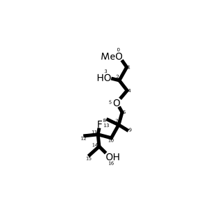 COCC(O)COCC(C)(C)CC(C)(F)C(C)O